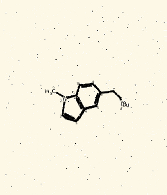 Cn1ccc2cc(CC(C)(C)C)ccc21